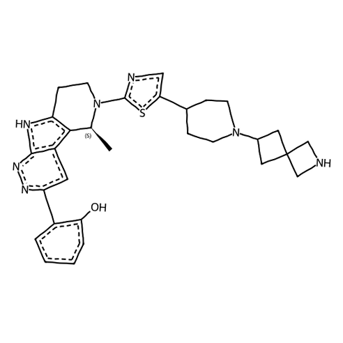 C[C@H]1c2c([nH]c3nnc(-c4ccccc4O)cc23)CCN1c1ncc(C2CCN(C3CC4(CNC4)C3)CC2)s1